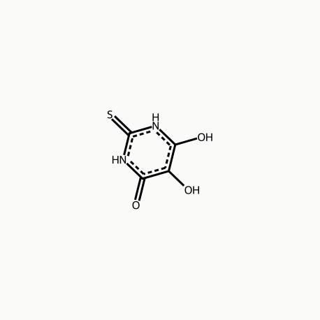 O=c1[nH]c(=S)[nH]c(O)c1O